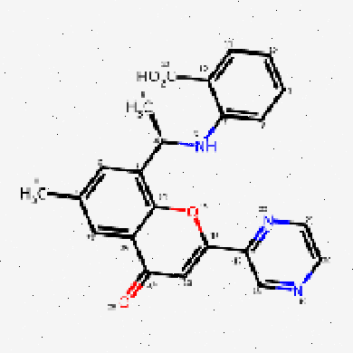 Cc1cc([C@@H](C)Nc2ccccc2C(=O)O)c2oc(-c3cnccn3)cc(=O)c2c1